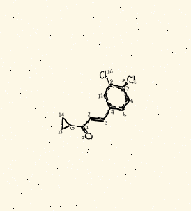 O=C(/C=C/c1ccc(Cl)c(Cl)c1)C1CC1